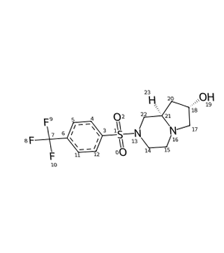 O=S(=O)(c1ccc(C(F)(F)F)cc1)N1CCN2C[C@@H](O)C[C@@H]2C1